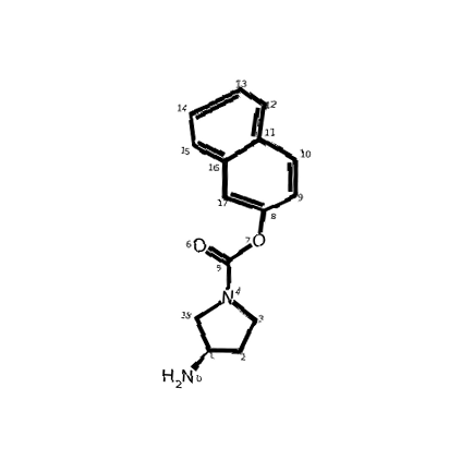 N[C@@H]1CCN(C(=O)Oc2ccc3ccccc3c2)C1